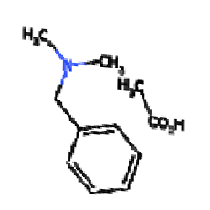 CC(=O)O.CN(C)Cc1ccccc1